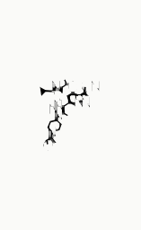 Cc1c(-c2cc(OC(C)c3csc(C4CC4)n3)c3c(C#N)cnn3c2)nnn1C1CCN(C2COC2)CC1